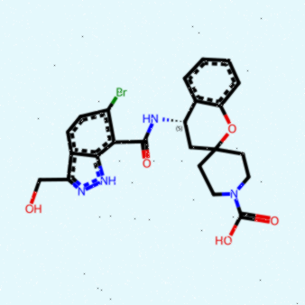 O=C(N[C@H]1CC2(CCN(C(=O)O)CC2)Oc2ccccc21)c1c(Br)ccc2c(CO)n[nH]c12